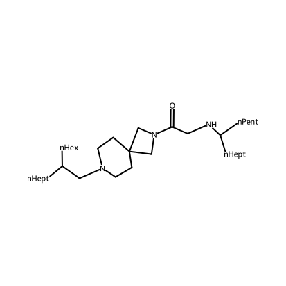 CCCCCCCC(CCCCCC)CN1CCC2(CC1)CN(C(=O)CNC(CCCCC)CCCCCCC)C2